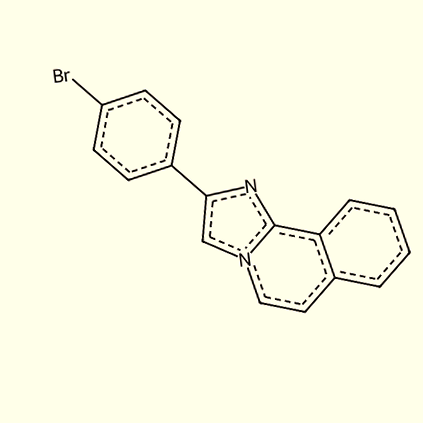 Brc1ccc(-c2cn3ccc4ccccc4c3n2)cc1